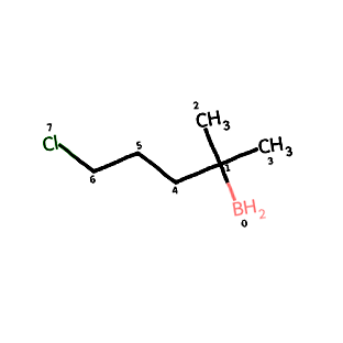 BC(C)(C)CCCCl